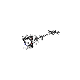 COc1cc2cc(c1Cl)N(C)C(=O)C[C@H](OC(=O)[C@H](C)N(C)C(=O)CCC(C)(C)SSCCCC(=O)NCCOCCOCCN1C(=O)CC(SC(=O)C(C)(C)C)C1=O)[C@]1(C)O[C@H]1[C@H](C)[C@@H]1C[C@@](O)(NC(=O)O1)[C@H](OC)/C=C/C=C(\C)C2